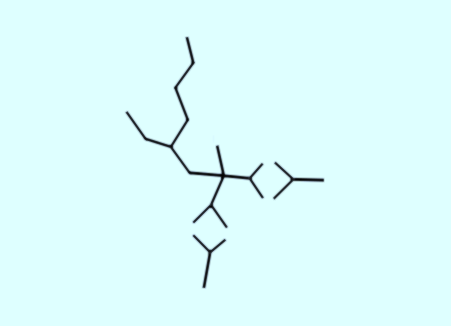 CCCCC(CC)CC(F)(C1OC(C)O1)C1OC(C)O1